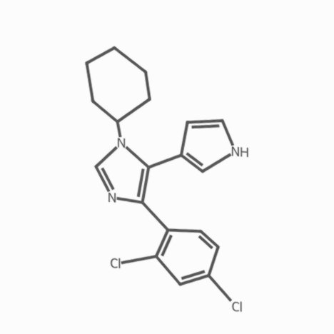 Clc1ccc(-c2ncn(C3CCCCC3)c2-c2cc[nH]c2)c(Cl)c1